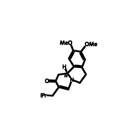 COc1cc2c(cc1OC)[C@H]1CC(=O)C(CC(C)C)=CN1CC2